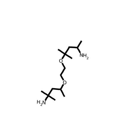 CC(N)CC(C)(C)OCCOC(C)CC(C)(C)N